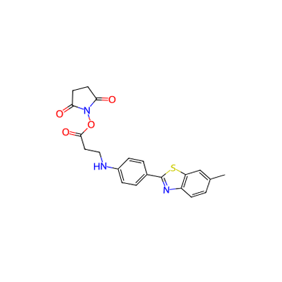 Cc1ccc2nc(-c3ccc(NCCC(=O)ON4C(=O)CCC4=O)cc3)sc2c1